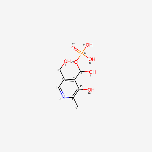 Cc1ncc(CO)c(C(O)OP(=O)(O)O)c1O